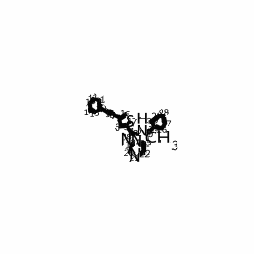 CC(Nc1c(-c2cc(C#Cc3ccccc3)cs2)nc2cnccn12)c1ccccc1